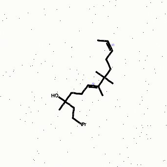 C/C=C\CCC(C)(C)/C(C)=C/CCC(C)(O)CCC(C)C